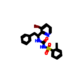 Cc1ccccc1S(=O)(=O)NC(=O)NC(Cc1ccccc1)c1ncccc1Br